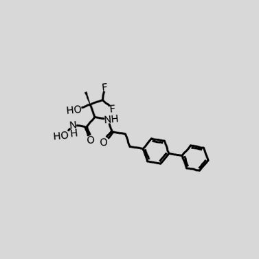 C[C@@](O)(C(F)F)C(NC(=O)CCc1ccc(-c2ccccc2)cc1)C(=O)NO